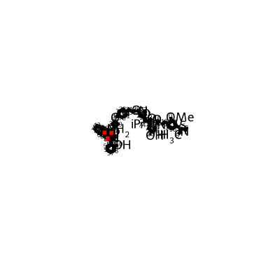 COc1cc(-c2scnc2C)ccc1CNC(=O)[C@@H]1C[C@@H](O)CN1C(=O)[C@H](c1cc(OCCN2CCC(O[C@H]3C[C@H](Oc4cc(N5C6CCC5CN(c5cc(-c7ccccc7O)nnc5N)C6)ccn4)C3)CC2)no1)C(C)C